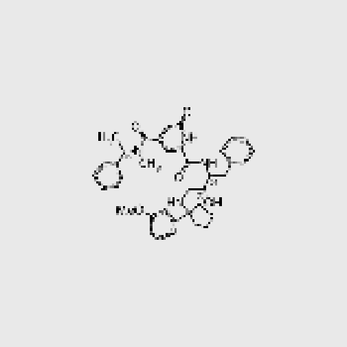 COc1cccc(C2(NC[C@@H](O)[C@H](Cc3ccccc3)NC(=O)c3cc(C(=O)N(C)[C@H](C)c4ccccc4)cc(=O)[nH]3)CCCC2)c1